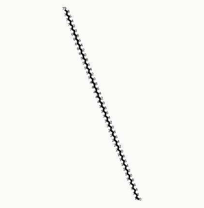 C=CCCCCCCCCCCCCCCCCCCCCCCCCCCCCCCCCCCCCCCCCCCCCCCCCCCCCCCCCCCCCCCCCCCCCCCCCCCCCCC